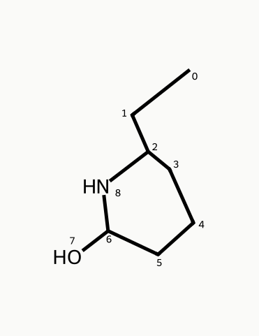 CCC1CCCC(O)N1